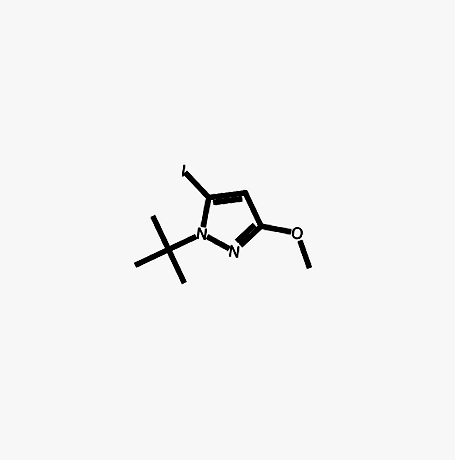 COc1cc(I)n(C(C)(C)C)n1